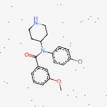 COc1cccc(C(=O)N(c2ccc(Cl)cc2)C2CCNCC2)c1